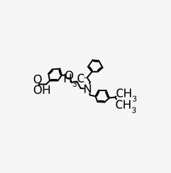 CC(C)c1ccc(CN(CCCOc2cccc(CC(=O)O)c2)C[C@H](C)c2ccccc2)cc1